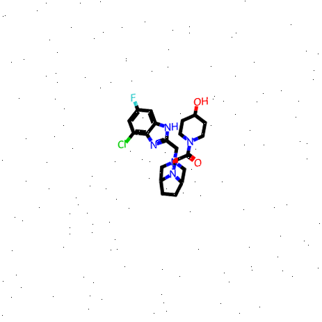 O=C(CN1C2CCC1CN(Cc1nc3c(Cl)cc(F)cc3[nH]1)C2)N1CCC(O)CC1